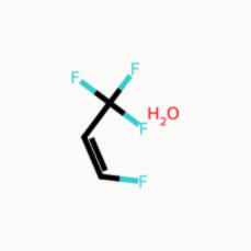 F/C=C\C(F)(F)F.O